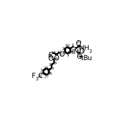 CC(C)(C)OC(=O)N[C@@H](Cc1ccc(OCC(CF)OC(=O)CCCc2ccc(C(F)(F)F)cc2)cc1)C(N)=O